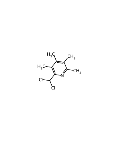 Cc1nc(C(Cl)Cl)c(C)c(C)c1C